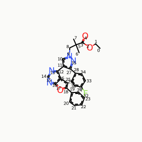 CCOC(=O)C(C)(C)Cn1cc(-c2ncnc3oc(-c4ccccc4)cc23)c(-c2ccc(F)cc2)n1